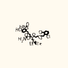 CCN(CC)CCN(CCC(Cc1ccc(O)c2[nH]c(=O)sc12)OC(N)=O)C(=O)CCOCCc1c(Cl)cccc1Cl